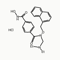 CCN(CC)CN(OCc1cccc2ccccc12)C(=O)c1ccc(C(=O)NO)cc1.Cl